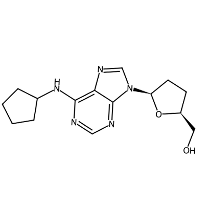 OC[C@@H]1CC[C@H](n2cnc3c(NC4CCCC4)ncnc32)O1